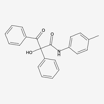 Cc1ccc(NC(=O)C(O)(C(=O)c2ccccc2)c2ccccc2)cc1